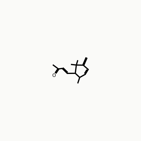 C=C1C=CC(C)C(/C=C/C(C)=O)C1(C)C